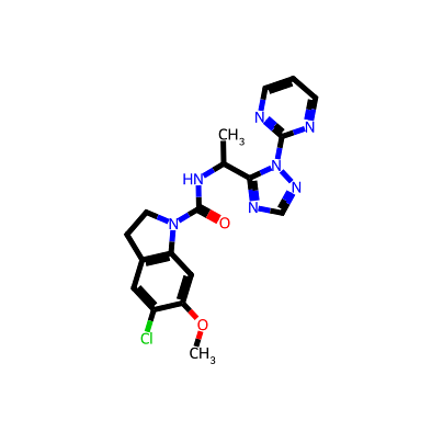 COc1cc2c(cc1Cl)CCN2C(=O)NC(C)c1ncnn1-c1ncccn1